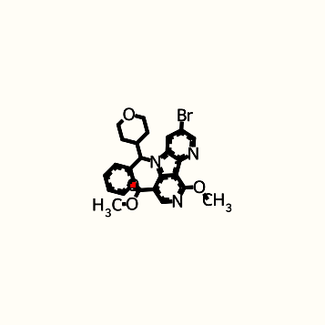 COC(=O)c1cnc(OC)c2c3ncc(Br)cc3n(C(c3ccccc3)C3CCOCC3)c12